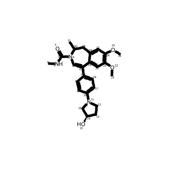 CNC(=O)N1C=C(c2ccc(N3CC[C@@H](O)C3)cc2)c2cc(OC)c(OC)cc2CC1C